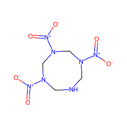 O=[N+]([O-])N1CNCN([N+](=O)[O-])CN([N+](=O)[O-])C1